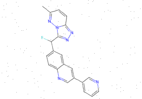 Cc1ccc2nnc(C(F)c3ccc4ncc(-c5cccnc5)cc4c3)n2n1